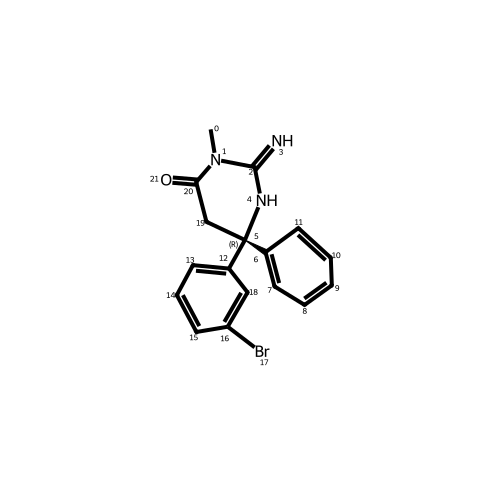 CN1C(=N)N[C@](c2ccccc2)(c2cccc(Br)c2)CC1=O